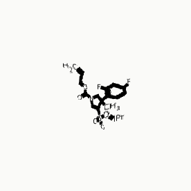 C=CCOC(=O)N1CC(S(=O)(=O)OC(C)C)C(C)(c2ccc(F)cc2F)C1